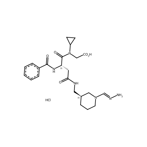 Cl.NN=CN1CCC[C@@H](CNC(=O)C[C@H](NC(=O)c2ccccc2)C(=O)N(CC(=O)O)C2CC2)C1